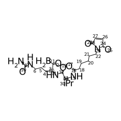 BC(=O)[C@H](CCCNC(N)=O)NC(=O)[C@@H](NC(=O)CCCCCN1C(=O)C=CC1=O)C(C)C